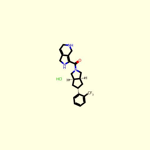 Cl.O=C(C1=C2CNCC=C2CN1)N1C[C@H]2C[C@H](c3ccccc3C(F)(F)F)C[C@H]2C1